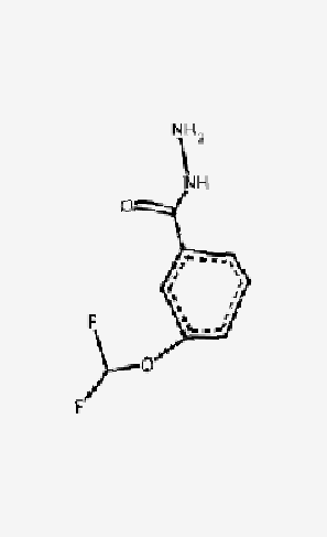 NNC(=O)c1cccc(OC(F)F)c1